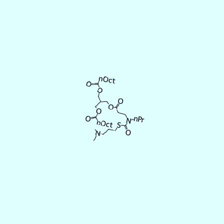 CCCCCCCCC(=O)OCC(COC(=O)CCCCCCCC)COC(=O)CCN(CCC)C(=O)SCCCN(C)C